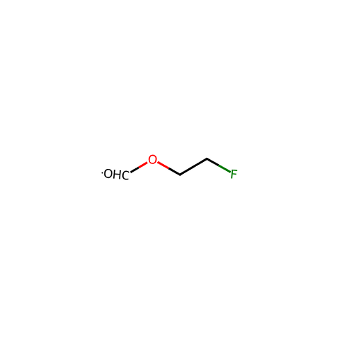 O=[C]OCCF